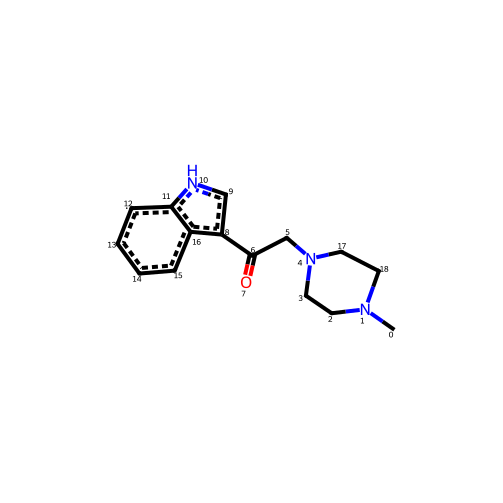 CN1CCN(CC(=O)c2c[nH]c3[c]cccc23)CC1